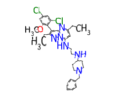 CCc1cc(NCCNC2CCN(Cc3ccccc3)CC2)n2nc(CC)c(-c3c(Cl)cc(Cl)cc3OC)c2n1